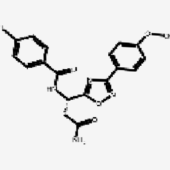 NC(=O)C[C@H](NC(=O)c1ccc(Cl)cc1)c1nc(-c2ccc(OC(F)(F)F)cc2)no1